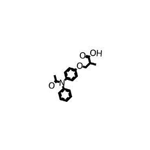 CC(=O)N(c1ccccc1)c1ccc(OCC(C)C(=O)O)cc1